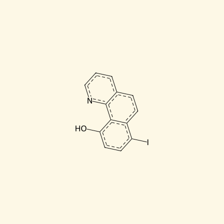 Oc1ccc(I)c2ccc3cccnc3c12